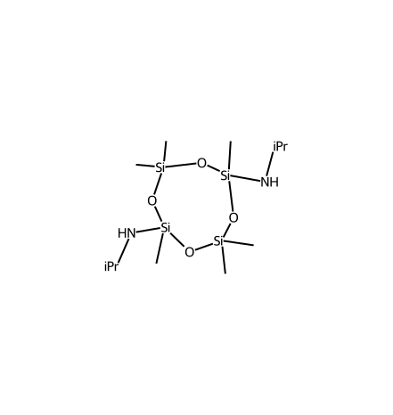 CC(C)N[Si]1(C)O[Si](C)(C)O[Si](C)(NC(C)C)O[Si](C)(C)O1